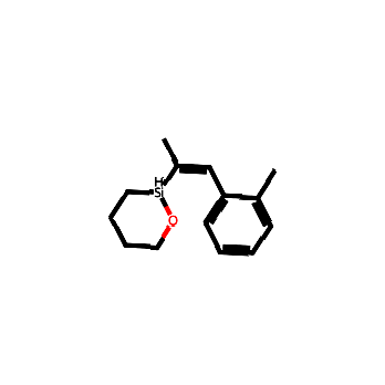 CC(=Cc1ccccc1C)[SiH]1CCCCO1